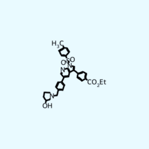 CCOC(=O)c1ccc(-c2cn(S(=O)(=O)c3ccc(C)cc3)c3ncc(-c4ccc(CN5CCCC(O)C5)cc4)cc23)cc1